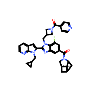 O=C(c1ccncc1)N1CC(Cn2c(-c3cc4cccnc4n3CC3CC3)nc3cc(C(=O)N4CC5CC6CC4[C@H]65)cc(F)c32)C1